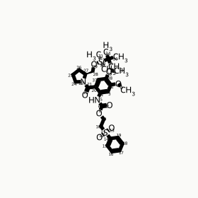 COc1cc(NC(=O)OCCS(=O)(=O)c2ccccc2)c(C(=O)N2CCC[C@H]2CO[Si](C)(C)C(C)(C)C)cc1OC